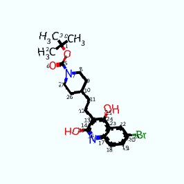 CC(C)(C)OC(=O)N1CCC(CCc2c(O)nc3ccc(Br)cc3c2O)CC1